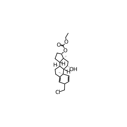 CCOC(=O)O[C@@H]1CC[C@H]2[C@@H]3CCC4=CC(CCl)C=C[C@]4(C)[C@H]3[C@@H](O)C[C@]12C